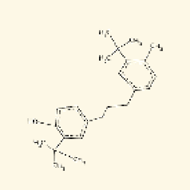 Cc1ccc(CCCc2ccc(O)c(C(C)(C)C)c2)cc1C(C)(C)C